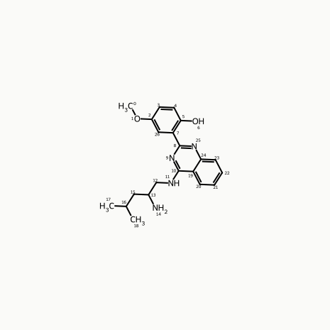 COc1ccc(O)c(-c2nc(NCC(N)CC(C)C)c3ccccc3n2)c1